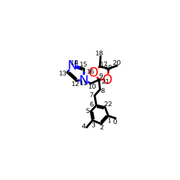 Cc1cc(C)cc(CCC2(Cn3ccnc3)OC(C)C(C)O2)c1